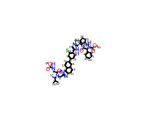 COC(=O)NCC(=O)N(Cc1nc2ccc3cc(-c4ccc(-c5cnc([C@@H]6[C@H]7CC[C@H](C7)N6C(=O)[C@H](NC(=O)OC)c6ccccc6)[nH]5)c(F)c4)ccc3c2[nH]1)[C@H](C)C(C)C